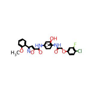 COc1ccccc1-c1cc(C(=O)NC23CCC(NC(=O)COc4ccc(Cl)c(F)c4)(CC2)C(O)C3)on1